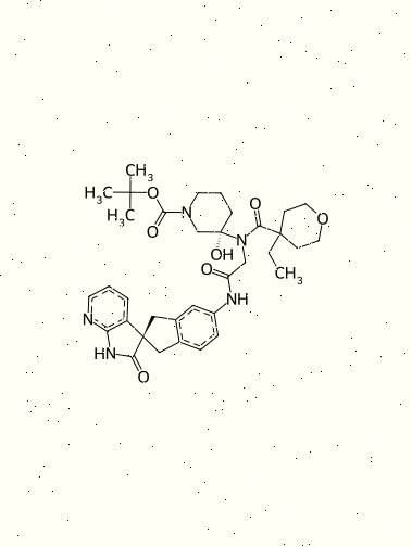 CCC1(C(=O)N(CC(=O)Nc2ccc3c(c2)C[C@@]2(C3)C(=O)Nc3ncccc32)[C@]2(O)CCCN(C(=O)OC(C)(C)C)C2)CCOCC1